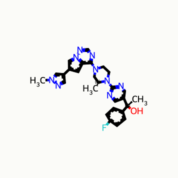 C[C@@H]1CN(c2ncnn3cc(-c4cnn(C)c4)cc23)CCN1c1ncc([C@](C)(O)c2ccc(F)cc2)cn1